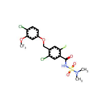 CN(C)S(=O)(=O)NC(=O)c1cc(Cl)c(COc2ccc(Cl)c(OC(F)(F)F)c2)cc1F